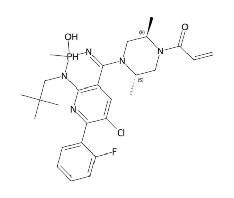 C=CC(=O)N1C[C@H](C)N(C2=N[PH](C)(O)N(CC(C)(C)C)c3nc(-c4ccccc4F)c(Cl)cc32)C[C@H]1C